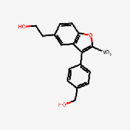 O=[N+]([O-])c1oc2ccc(CCO)cc2c1-c1ccc(CO)cc1